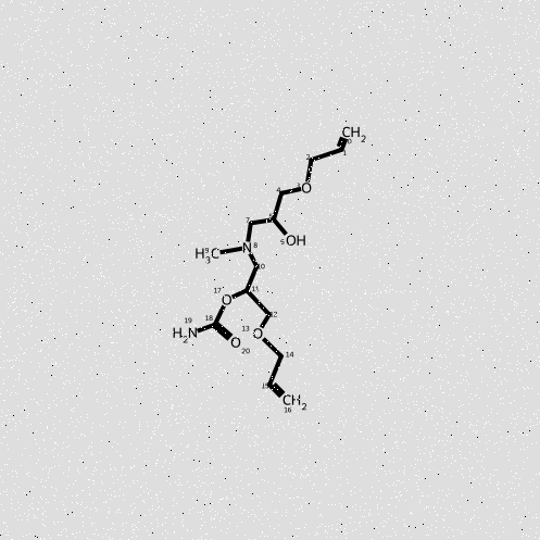 C=CCOCC(O)CN(C)CC(COCC=C)OC(N)=O